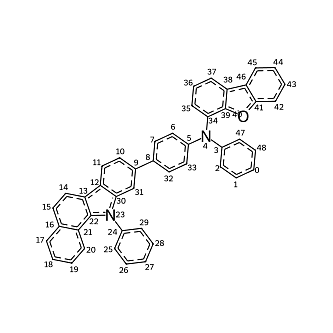 c1ccc(N(c2ccc(-c3ccc4c5ccc6ccccc6c5n(-c5ccccc5)c4c3)cc2)c2cccc3c2oc2ccccc23)cc1